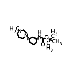 CN1CCCN([C@@H]2CCC[C@@H](NC(=O)OC(C)(C)C)C2)CC1